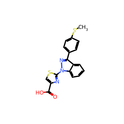 CSc1ccc(-c2nn(-c3nc(C(=O)O)cs3)c3ccccc23)cc1